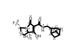 CC1(C)C2CCC(CNC(=O)C3=C(O)[C@@]4(C)CO[C@H](C(F)(F)F)N4C3=O)C1C2